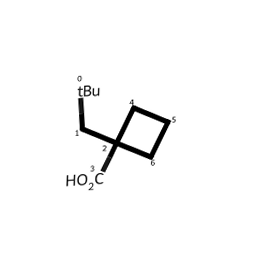 CC(C)(C)CC1(C(=O)O)CCC1